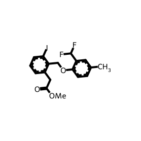 COC(=O)Cc1cccc(I)c1COc1ccc(C)cc1C(F)F